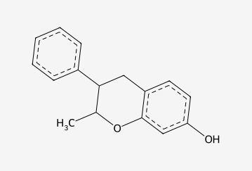 CC1Oc2cc(O)ccc2CC1c1ccccc1